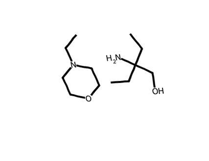 CCC(N)(CC)CO.CCN1CCOCC1